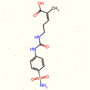 CC(=CCCNC(=O)Nc1ccc(S(N)(=O)=O)cc1)C(=O)O